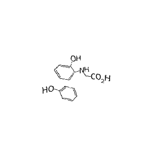 O=C(O)CNc1ccccc1O.Oc1ccccc1